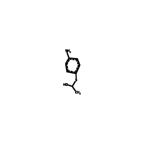 CC(O)Sc1ccc(N)cc1